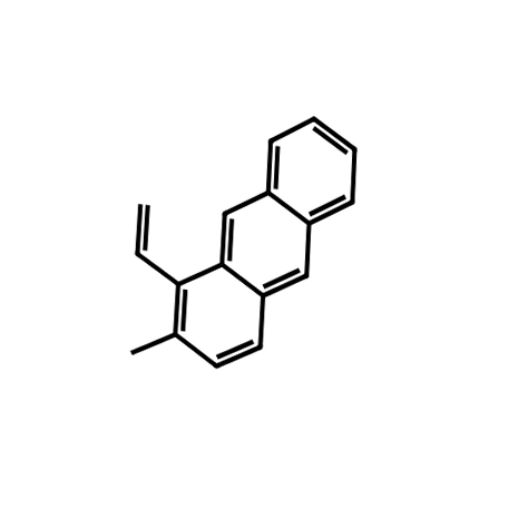 C=Cc1c(C)ccc2cc3ccccc3cc12